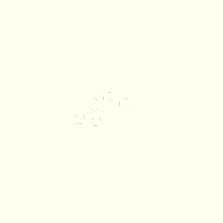 Fc1ccccc1-c1cccc2[nH]c(-c3n[nH]c4cnc(-c5cncc(OC6CCCCC6)c5)cc34)nc12